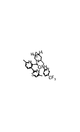 Cc1csc(-c2ccc(C)nc2C(=O)N2C[C@@H]3C[C@@H]3CC2CNc2ccc(C(F)(F)F)cn2)n1